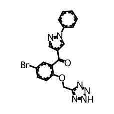 O=C(c1cnn(-c2ccccc2)c1)c1cc(Br)ccc1OCc1nn[nH]n1